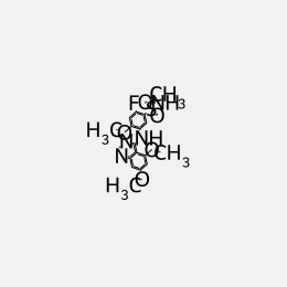 CNS(=O)(=O)c1cc(Nc2ncnc3cc(OC)cc(OC)c23)c(OC)cc1F